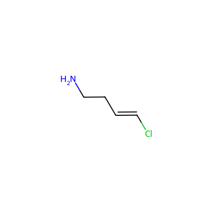 NCCC=CCl